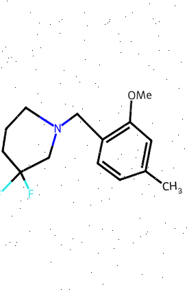 COc1cc(C)ccc1CN1CCCC(F)(F)C1